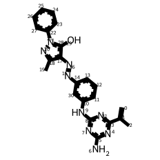 C=C(C)c1nc(N)nc(Nc2cccc(N=Nc3c(C)nn(-c4ccccc4)c3O)c2)n1